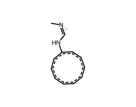 C/N=C\Nc1ccccccccc1